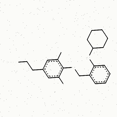 CCOC(=O)CCc1cc(F)c(OCc2ccccc2OC2CCCCC2)c(F)c1